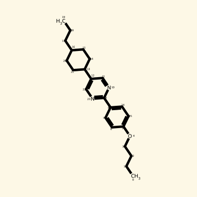 CCCCOc1ccc(-c2ncc(C3CCC(CCC)CC3)cn2)cc1